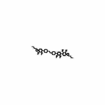 CCCCOc1ccc(-c2ccc(C3CCC(CCC4CCC(c5ccc(OCCCC)c(F)c5F)CC4)CC3)c(F)c2F)c(F)c1F